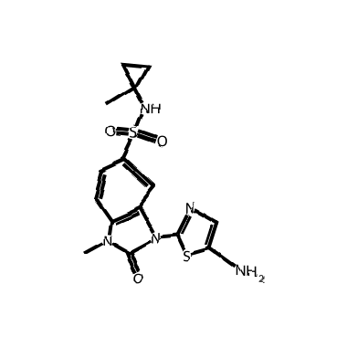 Cn1c(=O)n(-c2ncc(N)s2)c2cc(S(=O)(=O)NC3(C)CC3)ccc21